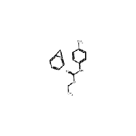 CCOC(=O)Nc1ccc(C)cc1.c1ccc2c(c1)C2